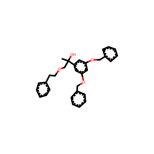 CC(O)(COCCc1ccccc1)c1cc(OCc2ccccc2)cc(OCc2ccccc2)c1